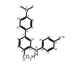 CN(C)c1ccc(-c2ccc(C(=O)O)c(Nc3ccc(F)cc3)c2)cc1